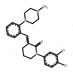 CN1CCN(c2ccccc2/C=C2\CCCN(c3ccc(Cl)c(Cl)c3)C2=O)CC1